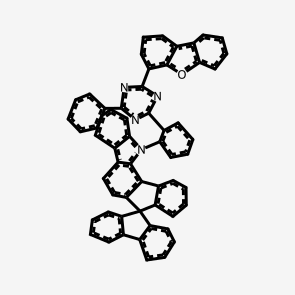 c1ccc(-c2nc(-c3ccccc3-n3c4ccccc4c4ccc5c(c43)-c3ccccc3C53c4ccccc4-c4ccccc43)nc(-c3cccc4c3oc3ccccc34)n2)cc1